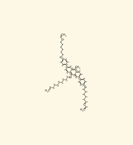 C=COCCCCCCOc1ccc(-c2ccc3c(OCCCCCCCCCC)c4cc(-c5ccc(OCCCCCCOC=C)cc5)ccc4c(C)c3c2)cc1